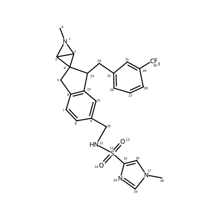 CN1C2C1C21Cc2ccc(CNS(=O)(=O)c3cn(C)cn3)cc2C1Cc1cccc(C(F)(F)F)c1